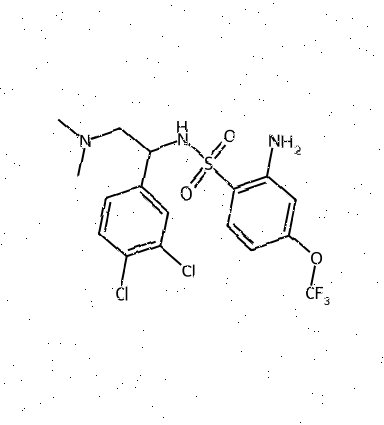 CN(C)CC(NS(=O)(=O)c1ccc(OC(F)(F)F)cc1N)c1ccc(Cl)c(Cl)c1